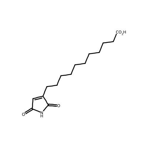 O=C(O)CCCCCCCCCCC1=CC(=O)NC1=O